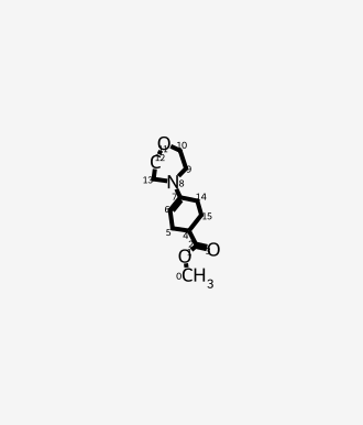 COC(=O)C1CC=C(N2CCOCC2)CC1